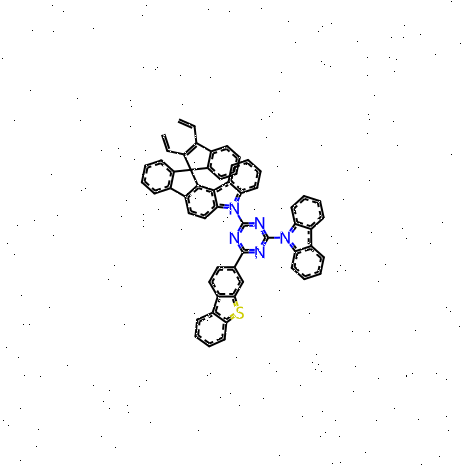 C=CC1=C(C=C)C2(c3ccccc31)c1ccccc1-c1ccc3c(c12)c1ccccc1n3-c1nc(-c2ccc3c(c2)sc2ccccc23)nc(-n2c3ccccc3c3ccccc32)n1